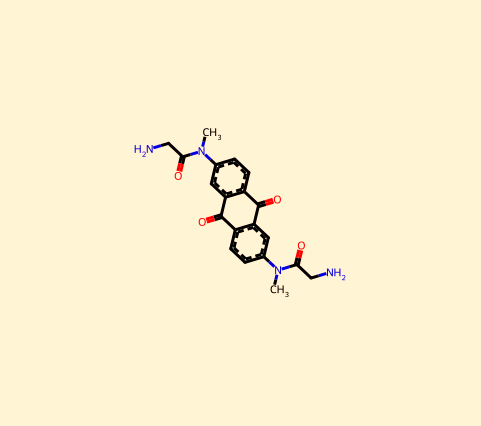 CN(C(=O)CN)c1ccc2c(c1)C(=O)c1ccc(N(C)C(=O)CN)cc1C2=O